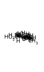 Cc1cn([C@@H]2O[C@H](C(=O)NCCCC(=O)N[C@@](N)(CC(=O)O)C(=O)O)[C@@H](O)[C@@H]2O)c(=O)[nH]c1=O